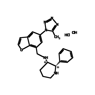 Cc1nnnn1-c1cc(CN[C@H]2CCCN[C@H]2c2ccccc2)c2occc2c1.Cl.Cl